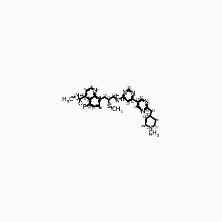 CNC(=O)c1ccnc2c(CC(CNc3cc(-c4cnc(CC5CCN(C)CC5)nc4)ncn3)SC)ccc(F)c12